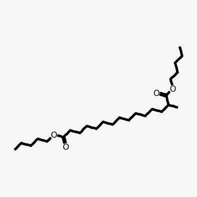 CCCCCOC(=O)CCCCCCCCCCCCC(C)C(=O)OCCCCC